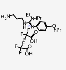 CCCOc1ccc(/N=C(/NCCCN)N(CC)C(C)C)cc1.O=C(O)C(F)(F)F.O=C(O)C(F)(F)F